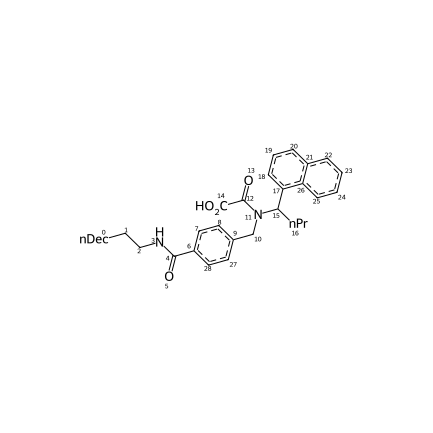 CCCCCCCCCCCCNC(=O)c1ccc(CN(C(=O)C(=O)O)C(CCC)c2cccc3ccccc23)cc1